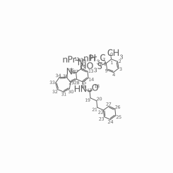 CC1C=CC=CC1(C)S(=O)(=O)O.CCCN(CCC)c1ccc(NC(=O)CCCc2ccccc2)c2c3cccccc-3nc12